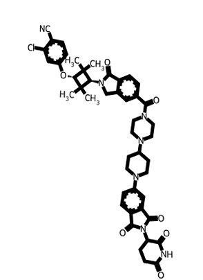 CC1(C)[C@H](Oc2ccc(C#N)c(Cl)c2)C(C)(C)[C@H]1N1Cc2cc(C(=O)N3CCN(C4CCN(c5ccc6c(c5)C(=O)N(C5CCC(=O)NC5=O)C6=O)CC4)CC3)ccc2C1=O